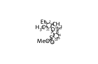 CCc1cc(C)c(OCc2c(SC(=O)OC)cccc2C2CC2)cc1C